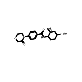 COC1CCC(NC(=O)c2ccc(N3CCOCC3=O)cc2)C(N)C1